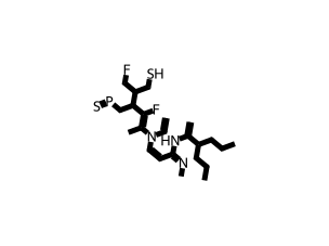 C=CN(/C=C\C(=N/C)NC(=C)C(CCC)CCC)/C(C)=C(\F)C(CP=S)C(CF)CS